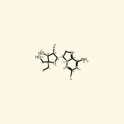 CC[C@]1(CO)O[C@@H](C2CN=C3C(N)=NC(F)=NN32)[C@H](F)[C@@H]1O